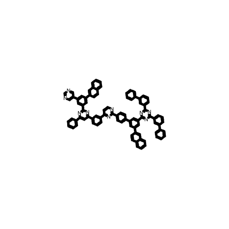 c1ccc(-c2cccc(-c3nc(-c4cccc(-c5ccccc5)c4)nc(-c4cc(-c5ccc(-c6nccc(-c7cccc(-c8cc(-c9ccccc9)nc(-c9cc(-c%10cncnc%10)cc(-c%10ccc%11ccccc%11c%10)c9)n8)c7)n6)cc5)cc(-c5ccc6ccccc6c5)c4)n3)c2)cc1